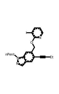 CCC#Cc1cc2cnn(CCCCC)c2cc1COc1ncccc1I